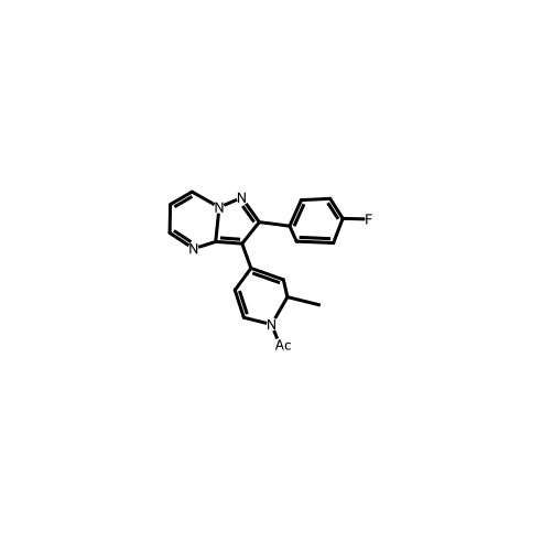 CC(=O)N1C=CC(c2c(-c3ccc(F)cc3)nn3cccnc23)=CC1C